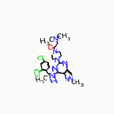 C[C@@H](Nc1nc(N2CCN(C(=O)CN(C)C)CC2)nc2cn(C)nc12)c1ccc(Cl)cc1Cl